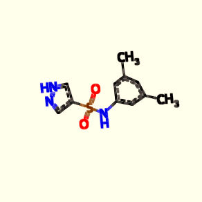 Cc1cc(C)cc(NS(=O)(=O)c2cn[nH]c2)c1